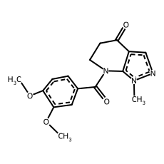 COc1ccc(C(=O)N2CCC(=O)c3cnn(C)c32)cc1OC